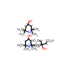 CC1(C)CC(O)CC(C)(C)N1.CC1(C)CC(O)CC(C)(C)N1.O=C(O)CC(O)(CC(=O)O)C(=O)O